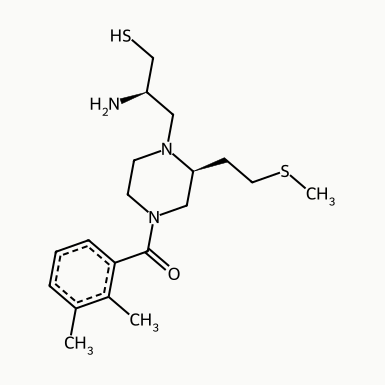 CSCC[C@H]1CN(C(=O)c2cccc(C)c2C)CCN1C[C@@H](N)CS